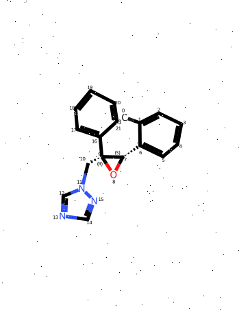 FC(F)(F)c1ccccc1[C@@H]1O[C@@]1(Cn1cncn1)c1ccccc1